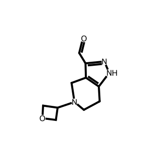 O=Cc1n[nH]c2c1CN(C1COC1)CC2